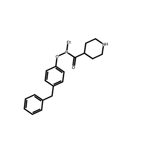 CCN(Oc1ccc(Cc2ccccc2)cc1)C(=O)C1CCNCC1